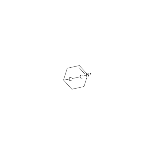 C1=[N+]2CCC(C1)CC2